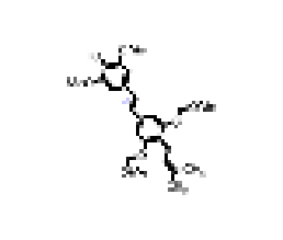 COCOc1cc(/C=C/c2cc(OC)c(O)c(OC)c2)cc(OCOC)c1CC=C(C)C